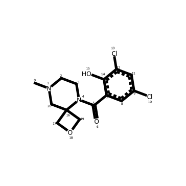 CN1CCN(C(=O)c2cc(Cl)cc(Cl)c2O)C2(COC2)C1